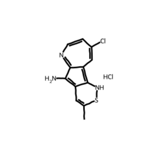 CC1=Cc2c(N)c3nccc(Cl)cc-3c2NS1.Cl